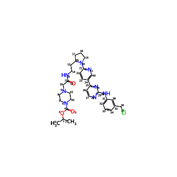 CC(C)OC(=O)N1CCN(CC(=O)NCCC2CCCN2c2ccc(-c3ccnc(Nc4cccc(CCl)c4)n3)cn2)CC1